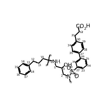 CN(CC(O)CNC(C)(C)CCCc1ccccc1)S(=O)(=O)c1cccc(-c2ccc(CCC(=O)O)cc2)c1